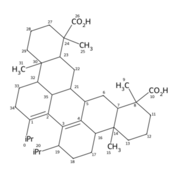 CC(C)C1=C2C3=C4C(CC5C(C)(C(=O)O)CCCC5(C)C4CCC3C(C)C)C3CC4C(C)(C(=O)O)CCCC4(C)C(CC1)C23